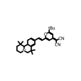 CC(C)(C)C1=CC(=C(C#N)C#N)C=C(C=CC2=CCC3C(=C2)C(C)(C)CN2CCCC(C)(C)C32)O1